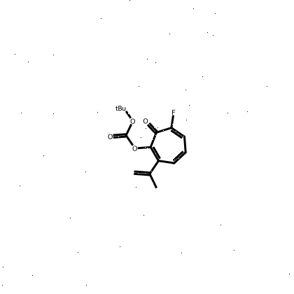 C=C(C)c1cccc(F)c(=O)c1OC(=O)OC(C)(C)C